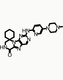 CN1CCN(c2ccc(Nc3ncc4nc5n(c4n3)C3(CCCCC3)CNC5=O)nc2)CC1